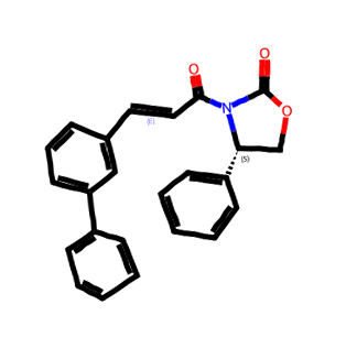 O=C(/C=C/c1cccc(-c2ccccc2)c1)N1C(=O)OC[C@@H]1c1ccccc1